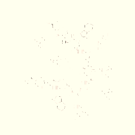 CC[C@H](C)[C@H](NC(=O)[C@H](CCCNC(=N)N)NC(=O)[C@H](Cc1c[nH]c2ccccc12)NC(=O)[C@H](CC(C)C)NC(=O)[C@H](CCCNC(=N)N)NC(=O)[C@H](CCCNC(=N)N)NC(=O)[C@H](CCSC)NC(=O)[C@H](CCCNC(=N)N)NC(=O)[C@H](CCCNC(=N)N)NC(=O)[C@@H](NC(=O)[C@H](Cc1c[nH]c2ccccc12)NC(=O)[C@H](CCCNC(=N)N)NC(=O)[C@H](CC(C)C)NC(=O)[C@H](C)N)[C@@H](C)CC)C(=O)O